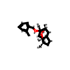 Cc1ccccc1CO[C@H]1C[C@@]2(C)C3CC[C@H]2O[C@]1(C)C3